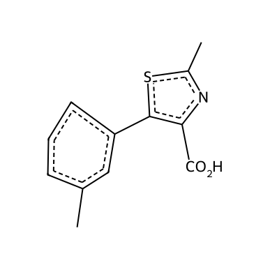 Cc1cccc(-c2sc(C)nc2C(=O)O)c1